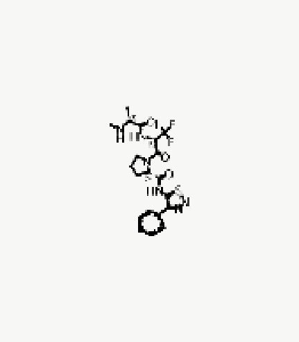 CN[C@@H](C)C(=O)N[C@H](C(=O)N1CCC[C@H]1C(=O)Nc1snnc1-c1ccccc1)C(F)(F)F